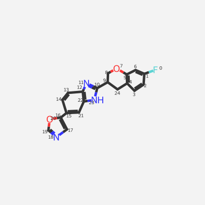 Fc1ccc2c(c1)OCC(c1nc3ccc(-c4cnco4)cc3[nH]1)C2